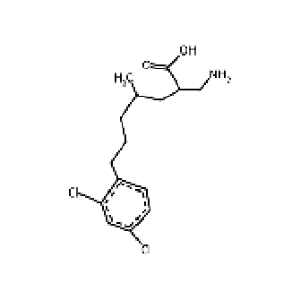 CC(CCCc1ccc(Cl)cc1Cl)CC(CN)C(=O)O